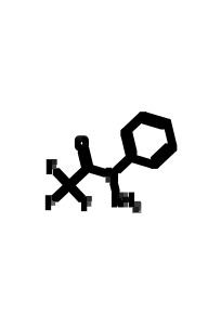 NN(C(=O)C(F)(F)F)c1ccccc1